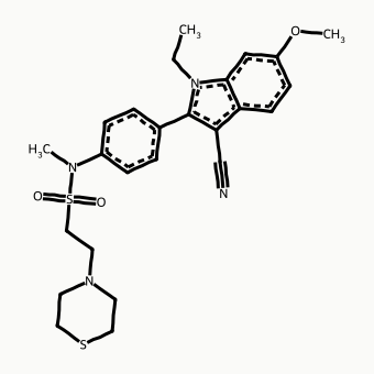 CCn1c(-c2ccc(N(C)S(=O)(=O)CCN3CCSCC3)cc2)c(C#N)c2ccc(OC)cc21